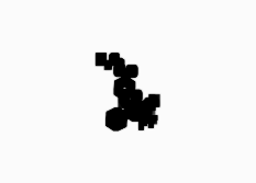 CCOC(=O)C1CCC(=Nn2c(-c3ccccc3)cc(C(F)(F)F)c(C#N)c2=O)CC1